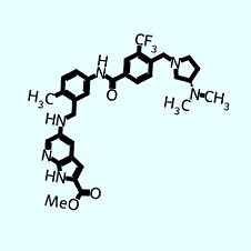 COC(=O)c1cc2cc(NCc3cc(NC(=O)c4ccc(CN5CC[C@H](N(C)C)C5)c(C(F)(F)F)c4)ccc3C)cnc2[nH]1